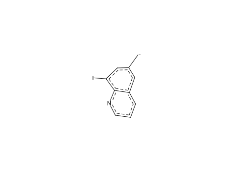 [CH2]c1cc(I)c2ncccc2c1